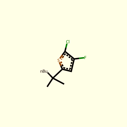 CCCCC(C)(C)c1cc(F)c(Cl)s1